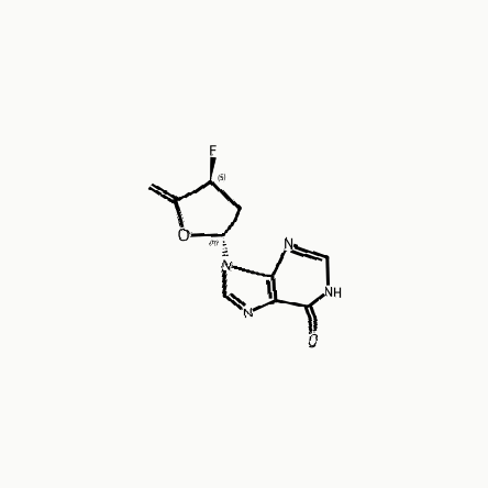 C=C1O[C@@H](n2cnc3c(=O)[nH]cnc32)C[C@@H]1F